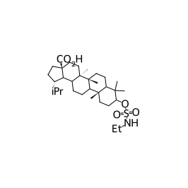 CCNS(=O)(=O)OC1CC[C@@]2(C)C(CC[C@]3(C)C2CCC2C4[C@H](C(C)C)CC[C@]4(C(=O)O)CC[C@]23C)C1(C)C